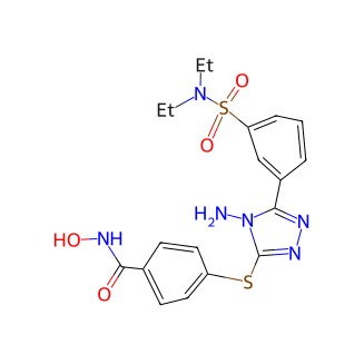 CCN(CC)S(=O)(=O)c1cccc(-c2nnc(Sc3ccc(C(=O)NO)cc3)n2N)c1